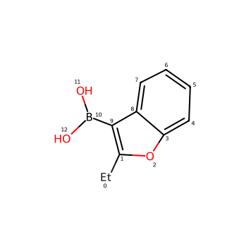 CCc1oc2ccccc2c1B(O)O